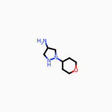 NC1CNN(C2CCOCC2)C1